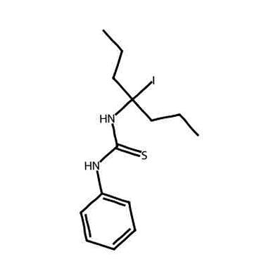 CCCC(I)(CCC)NC(=S)Nc1ccccc1